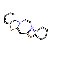 C1=C[n+]2c(sc3ccccc32)C=C2Sc3ccccc3N12